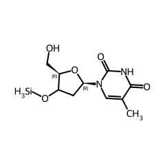 Cc1cn([C@H]2CC(O[SiH3])[C@@H](CO)O2)c(=O)[nH]c1=O